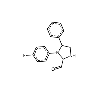 O=CC1NCC(c2ccccc2)N1c1ccc(F)cc1